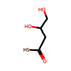 O=C(S)CC(O)CO